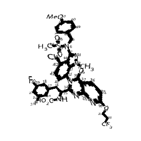 COc1ccc(CN(c2nn(C)c3c(-n4c(C(Cc5cc(F)cc(F)c5)NC(=O)O)nc5nc(OCCC(F)(F)F)ccc5c4=O)ccc(Cl)c23)S(C)(=O)=O)cc1